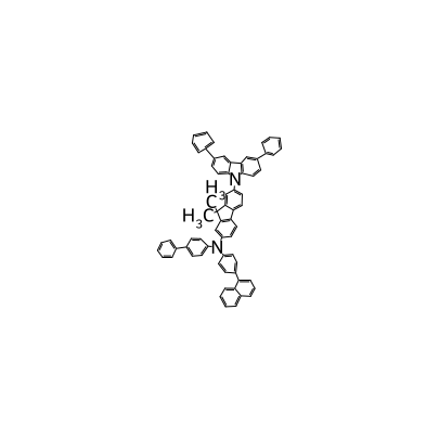 CC1(C)c2cc(N(c3ccc(-c4ccccc4)cc3)c3ccc(-c4cccc5ccccc45)cc3)ccc2-c2ccc(-n3c4ccc(-c5ccccc5)cc4c4cc(-c5ccccc5)ccc43)cc21